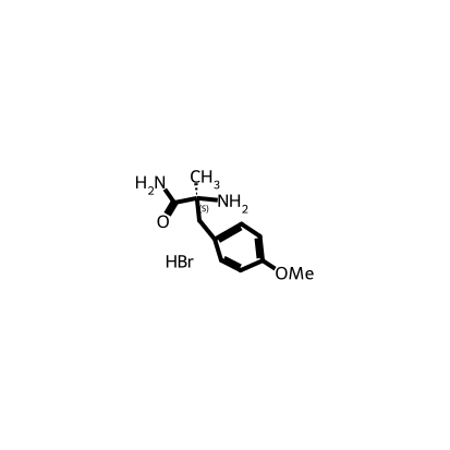 Br.COc1ccc(C[C@](C)(N)C(N)=O)cc1